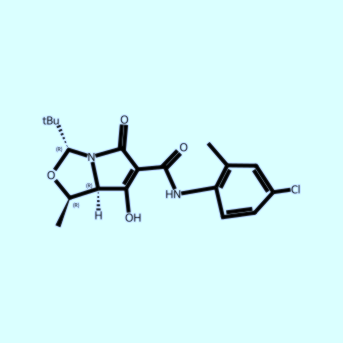 Cc1cc(Cl)ccc1NC(=O)C1=C(O)[C@H]2[C@@H](C)O[C@H](C(C)(C)C)N2C1=O